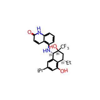 CC[C@H]1C[C@](O)(C(F)(F)F)[C@@H](Nc2cccc3[nH]c(=O)ccc23)c2cc(C(C)C)cc(O)c21